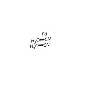 CC#N.CC#N.[Pd]